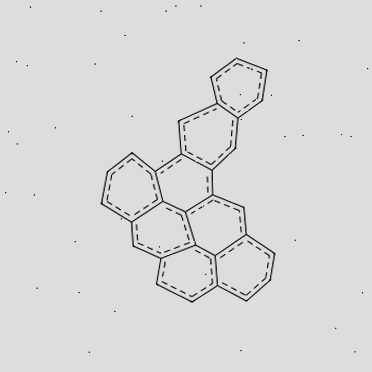 c1ccc2cc3c(cc2c1)c1cccc2cc4ccc5cccc6cc3c(c21)c4c56